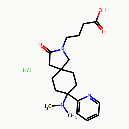 CN(C)C1(c2ccccn2)CCC2(CC1)CC(=O)N(CCCC(=O)O)C2.Cl